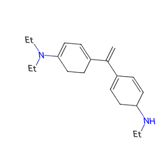 C=C(C1=CCC(NCC)C=C1)C1=CC=C(N(CC)CC)CC1